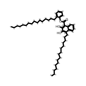 CCCCCCCCCCCCCCCCc1ccccc1OC(=O)c1c(O)c(O)c(CCCCCCCCCCCCCCCC)c2ccccc12